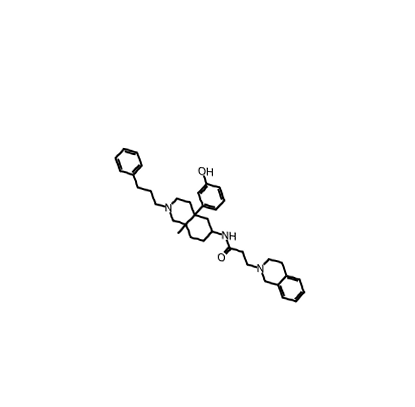 CC12CCC(NC(=O)CCN3CCc4ccccc4C3)CC1(c1cccc(O)c1)CCN(CCCc1ccccc1)C2